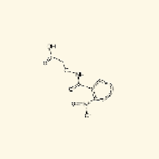 O=C(O)CONC(=O)c1ccccc1[N+](=O)[O-]